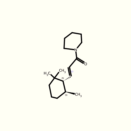 C[C@H]1CCCC(C)(C)[C@@H]1/C=C/C(=O)N1CCCCC1